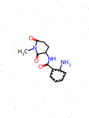 CN1C(=O)CCC(NC(=O)c2ccccc2N)C1=O